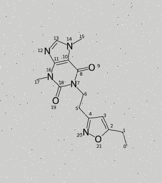 CCc1cc(CCn2c(=O)c3c(ncn3C)n(C)c2=O)no1